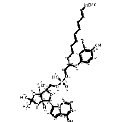 CCCCCCCCCCCCCCCCCCC[C@H](COP(=O)(O)OC[C@@]1(C)O[C@@H](c2ccc3c(N)ncnn23)[C@@H]2OC(C)(C)O[C@@H]21)Oc1ccc(C#N)c(F)c1